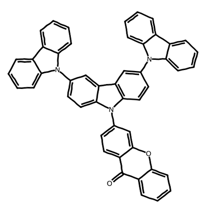 O=c1c2ccccc2oc2cc(-n3c4ccc(-n5c6ccccc6c6ccccc65)cc4c4cc(-n5c6ccccc6c6ccccc65)ccc43)ccc12